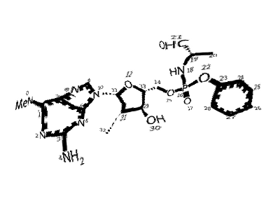 CNc1nc(N)nc2c1ncn2[C@@H]1O[C@H](COP(=O)(N[C@@H](C)C=O)Oc2ccccc2)[C@@H](O)[C@@H]1C